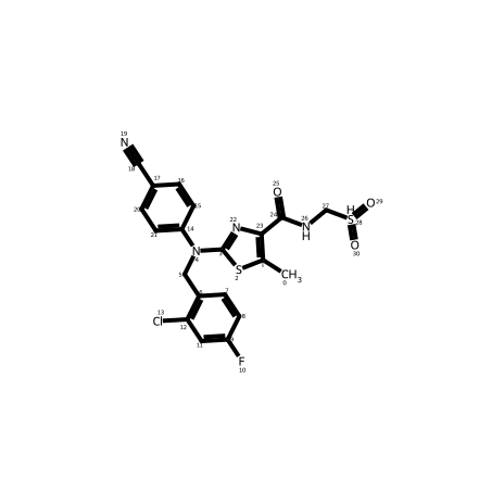 Cc1sc(N(Cc2ccc(F)cc2Cl)c2ccc(C#N)cc2)nc1C(=O)NC[SH](=O)=O